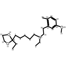 CCN(CCCCCC1(CC)OCCO1)CCc1cc(OC)ccc1C